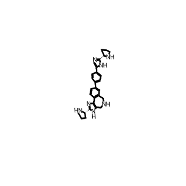 c1cc(-c2cnc([C@@H]3CCCN3)[nH]2)ccc1-c1ccc2c(c1)CNCc1[nH]c([C@@H]3CCCN3)nc1-2